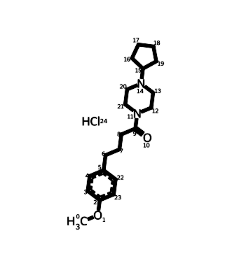 COc1ccc(CCCC(=O)N2CCN(C3CCCC3)CC2)cc1.Cl